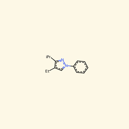 CCc1cn(-c2ccccc2)nc1C(C)C